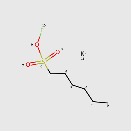 CCCCCCS(=O)(=O)OF.[K]